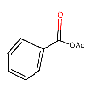 [CH2]C(=O)OC(=O)c1ccccc1